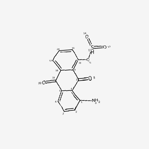 Nc1cccc2c1C(=O)c1c(O[SH](=O)=O)cccc1C2=O